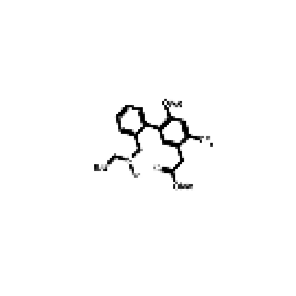 COC(=O)Cc1cc(-c2ccccc2CN(CC(C)(C)C)C(C)=O)c(OC)cc1C(F)(F)F